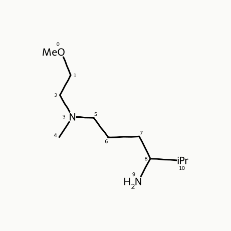 COCCN(C)CCCC(N)C(C)C